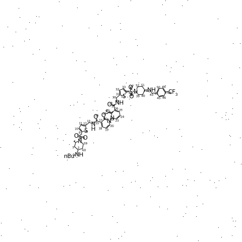 CCCCNC1CCN(S(=O)(=O)c2ccc(CNC(=O)c3cccn(-n4cccc(C(=O)NCc5ccc(S(=O)(=O)N6CCC(NCc7ccc(C(F)(F)F)cc7)CC6)s5)c4=S)c3=O)s2)CC1